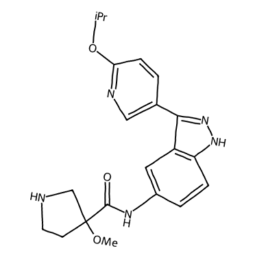 COC1(C(=O)Nc2ccc3[nH]nc(-c4ccc(OC(C)C)nc4)c3c2)CCNC1